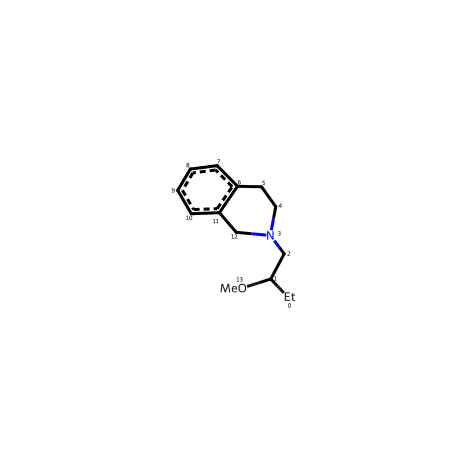 CCC(CN1CCc2ccccc2C1)OC